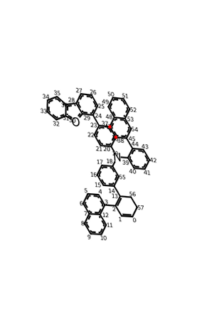 C1=CC(c2cccc3ccccc23)=C(c2cccc(N(c3ccc(-c4cccc5c4oc4ccccc45)cc3)c3ccccc3-c3ccc4ccccc4c3)c2)CC1